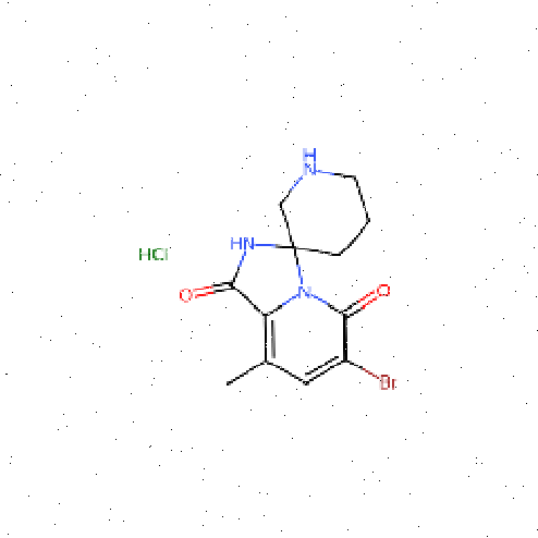 Cc1cc(Br)c(=O)n2c1C(=O)NC21CCCNC1.Cl